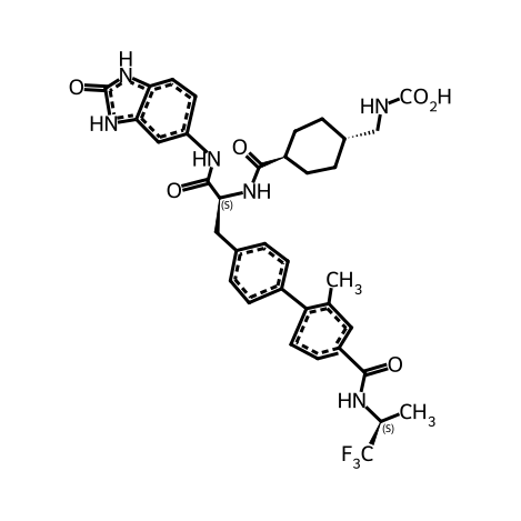 Cc1cc(C(=O)N[C@@H](C)C(F)(F)F)ccc1-c1ccc(C[C@H](NC(=O)[C@H]2CC[C@H](CNC(=O)O)CC2)C(=O)Nc2ccc3[nH]c(=O)[nH]c3c2)cc1